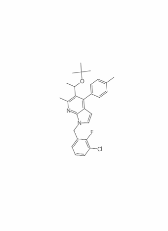 Cc1ccc(-c2c(C(C)OC(C)(C)C)c(C)nc3c2ccn3Cc2cccc(Cl)c2F)cc1